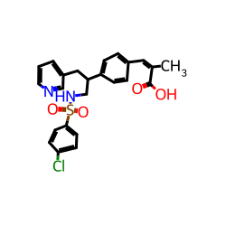 CC(=Cc1ccc(C(CNS(=O)(=O)c2ccc(Cl)cc2)Cc2cccnc2)cc1)C(=O)O